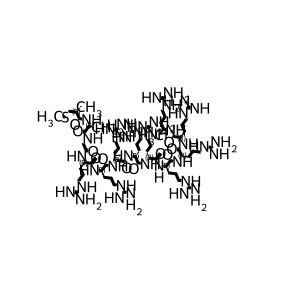 CSC[C@H](C)C(=O)N[C@@H](C)C(=O)NCC(=O)N[C@H](CCCNC(=N)N)C(=O)N[C@H](CCCNC(=N)N)C(=O)N[C@H](CCCNC(=N)N)C(=O)N[C@H](CCCNC(=N)N)C(=O)N[C@H](CCCNC(=N)N)C(=O)N[C@H](CCCNC(=N)N)C(=O)N[C@H](CCCNC(=N)N)C(=O)N[C@H](CCCNC(=N)N)C(=O)N[C@@H](C)CCCNC(=N)N